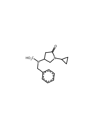 O=C(O)N(Cc1ccccc1)C1CC(=O)N(C2CC2)C1